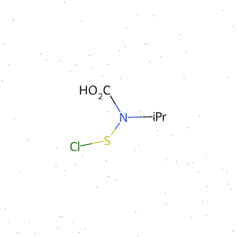 CC(C)N(SCl)C(=O)O